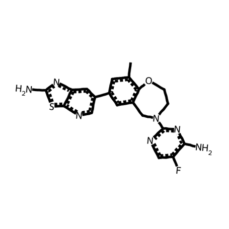 Cc1cc(-c2cnc3sc(N)nc3c2)cc2c1OCCN(c1ncc(F)c(N)n1)C2